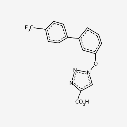 O=C(O)c1cn(Oc2cccc(-c3ccc(C(F)(F)F)cc3)c2)nn1